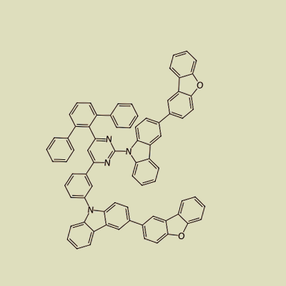 c1ccc(-c2cccc(-c3ccccc3)c2-c2cc(-c3cccc(-n4c5ccccc5c5cc(-c6ccc7oc8ccccc8c7c6)ccc54)c3)nc(-n3c4ccccc4c4cc(-c5ccc6oc7ccccc7c6c5)ccc43)n2)cc1